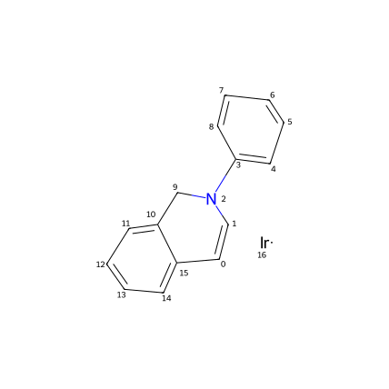 C1=CN(c2ccccc2)Cc2ccccc21.[Ir]